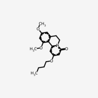 CCCCOc1cc2n(c(=O)c1)CCc1cc(OC)cc(OC)c1-2